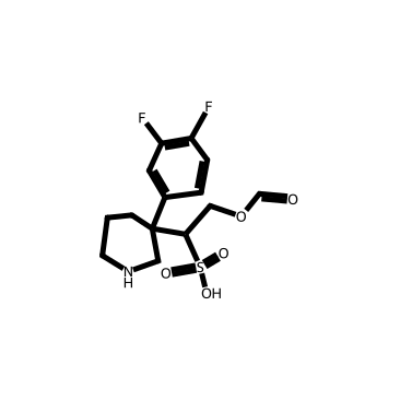 O=COCC(C1(c2ccc(F)c(F)c2)CCCNC1)S(=O)(=O)O